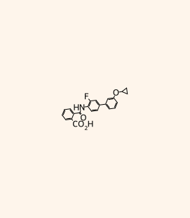 O=C(O)c1ccccc1C(=O)Nc1ccc(-c2cccc(OC3CC3)c2)cc1F